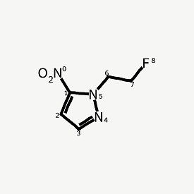 O=[N+]([O-])c1ccnn1CCF